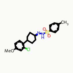 COc1ccc(C2CCC(=NNS(=O)(=O)c3ccc(C)cc3)CC2)c(Cl)c1